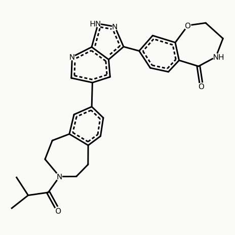 CC(C)C(=O)N1CCc2ccc(-c3cnc4[nH]nc(-c5ccc6c(c5)OCCNC6=O)c4c3)cc2CC1